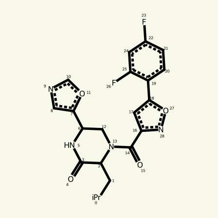 CC(C)CC1C(=O)NC(c2cnco2)CN1C(=O)c1cc(-c2ccc(F)cc2F)on1